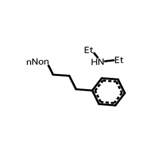 CCCCCCCCCCCCc1ccccc1.CCNCC